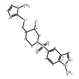 Cn1ccnc1SCC1CCN(S(=O)(=O)c2ccc3c(cnn3C)c2)CC1F